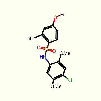 CCOc1ccc(S(=O)(=O)Nc2cc(OC)c(Cl)cc2OC)c(C(C)C)c1